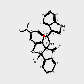 CC(C)c1ccc2c(c1)OC1(O)C3=CCCC=C3C(=O)C21NC(=O)c1c[nH]c2ccccc12